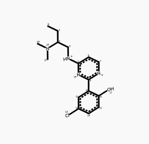 CCC(CNc1ccnc(-c2cc(Cl)ccc2O)n1)N(C)C